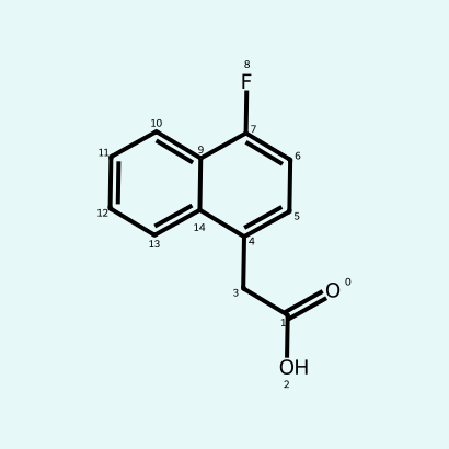 O=C(O)Cc1ccc(F)c2ccccc12